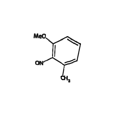 COc1cccc(C)c1N=O